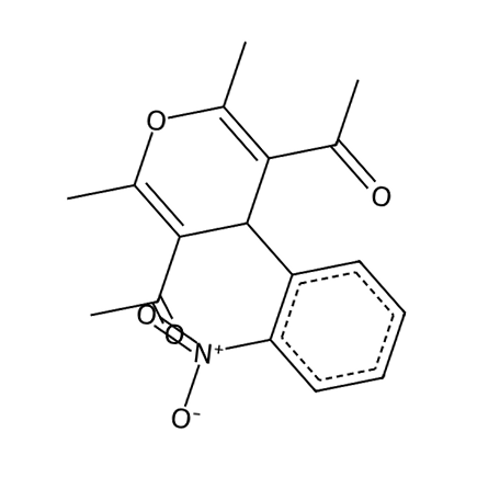 CC(=O)C1=C(C)OC(C)=C(C(C)=O)C1c1ccccc1[N+](=O)[O-]